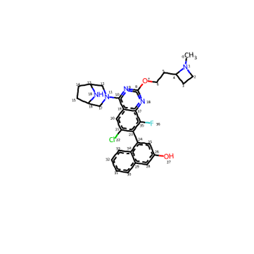 CN1CCC1CCOc1nc(N2CC3CCC(C2)N3)c2cc(Cl)c(-c3cc(O)cc4ccccc34)c(F)c2n1